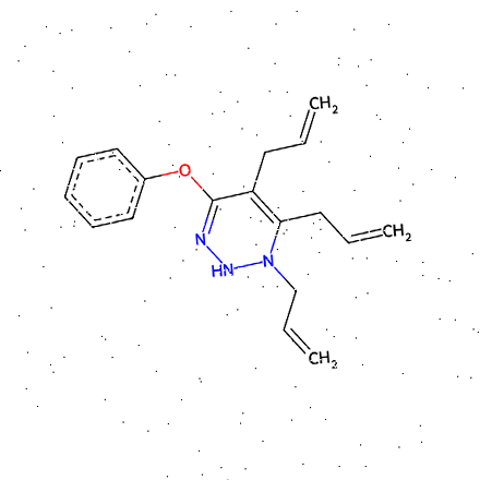 C=CCC1=C(CC=C)N(CC=C)NN=C1Oc1ccccc1